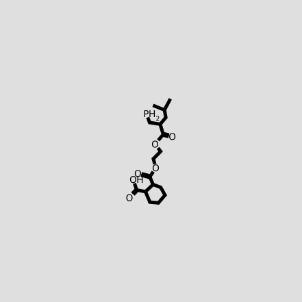 CC(C)CC(CP)C(=O)OCCOC(=O)C1CCCCC1C(=O)O